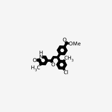 COC(=O)c1ccc(C(CC(=O)c2c[nH]c(=O)c(C)c2)c2ccc(Cl)cc2C)cc1